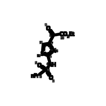 CCCS(=O)(=O)Nc1nc(C(=O)C(=O)OCC)cs1